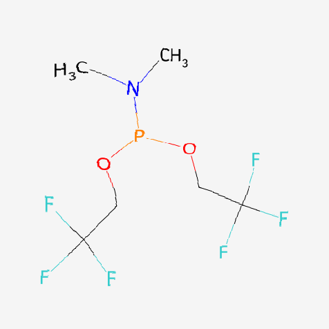 CN(C)P(OCC(F)(F)F)OCC(F)(F)F